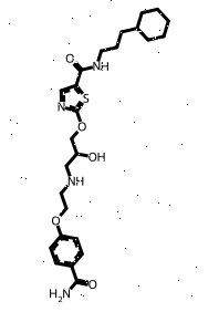 NC(=O)c1ccc(OCCNCC(O)COc2ncc(C(=O)NCCCC3CCCCC3)s2)cc1